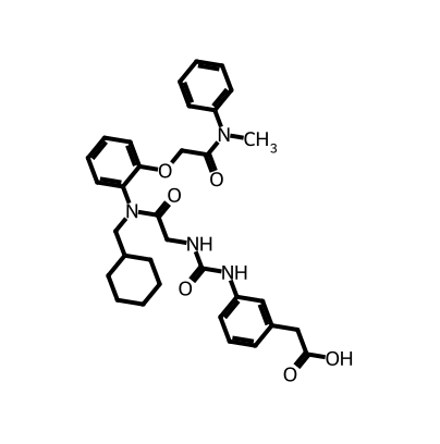 CN(C(=O)COc1ccccc1N(CC1CCCCC1)C(=O)CNC(=O)Nc1cccc(CC(=O)O)c1)c1ccccc1